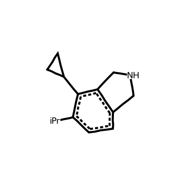 CC(C)c1ccc2c(c1C1CC1)CNC2